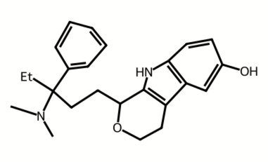 CCC(CCC1OCCc2c1[nH]c1ccc(O)cc21)(c1ccccc1)N(C)C